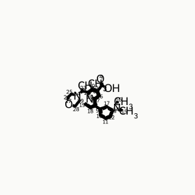 Cc1c(C(=O)O)cc2c(-c3cccc(N(C)C)c3)ccn2c1C(C)N1CCOCC1